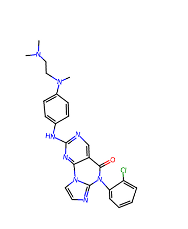 CN(C)CCN(C)c1ccc(Nc2ncc3c(=O)n(-c4ccccc4Cl)c4nccn4c3n2)cc1